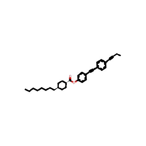 CCC#Cc1ccc(C#Cc2ccc(OC(=O)[C@H]3CC[C@H](CCCCCCCC)CC3)cc2)cc1